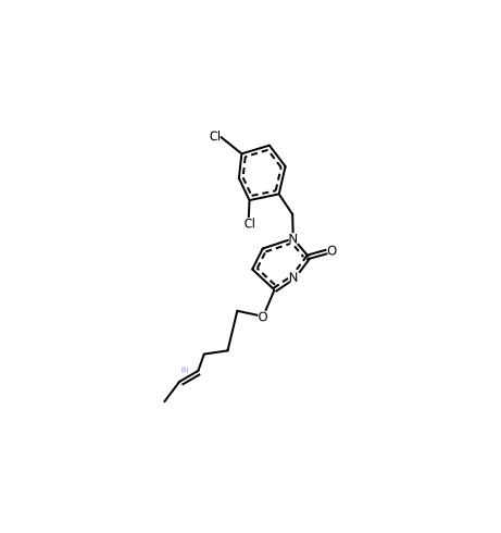 C/C=C/CCCOc1ccn(Cc2ccc(Cl)cc2Cl)c(=O)n1